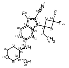 CCC1(c2c(C#N)c(F)c3cnc(N[C@@H]4CCOC[C@H]4O)nn23)CC(F)(F)C1